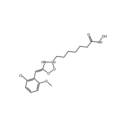 COc1cccc(Cl)c1/C=C1/N[SH](CCCCCCC(=O)NO)OO1